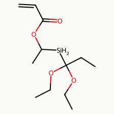 C=CC(=O)OC(C)[SiH2]C(CC)(OCC)OCC